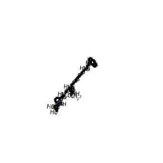 CC(C)[C@H](NC(=O)[C@@H](CCCCNC(=O)COC1CCCCC/C(N[C@@H]2C[C@@H](O)C[C@@H](CO)O2)=C\1N=N)NC(=O)CCOCCOCCOCCOCCNC(=O)CCC(=O)N1Cc2ccccc2C#Cc2ccccc21)C(N)=O